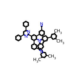 Cc1cc(C)cc(-c2ccc3c(c2)c2cc(-c4cc(C)cc(C)c4)ccc2n3-c2c(-c3cccc(C#N)c3)cc(-c3nc(-c4ccccc4)cc(-c4ccccc4)n3)cc2-c2cccc(C#N)c2)c1